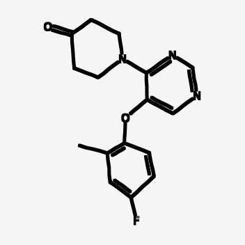 Cc1cc(F)ccc1Oc1cncnc1N1CCC(=O)CC1